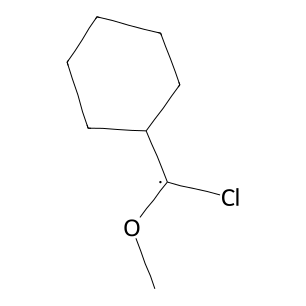 CO[C](Cl)C1CCCCC1